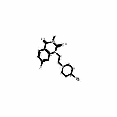 Cn1c(=O)c2ccc(F)cc2n(CCN2CCC(N)CC2)c1=O